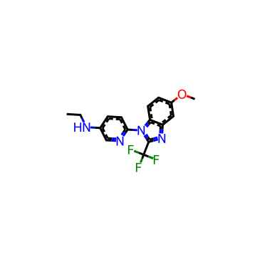 CCNc1ccc(-n2c(C(F)(F)F)nc3cc(OC)ccc32)nc1